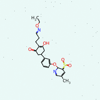 CCON=CCCC1=C(O)CC(c2cccc(OC3N=CC(C)=CC3=S(=O)=O)c2)CC1=O